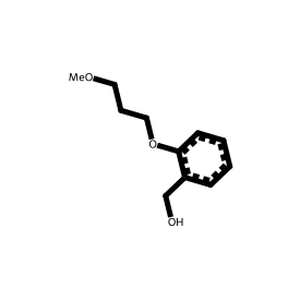 COCCCOc1ccccc1CO